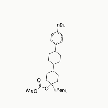 CCCCCC1(OC(=O)OC)CCC(C2CCC(c3ccc(CCCC)cc3)CC2)CC1